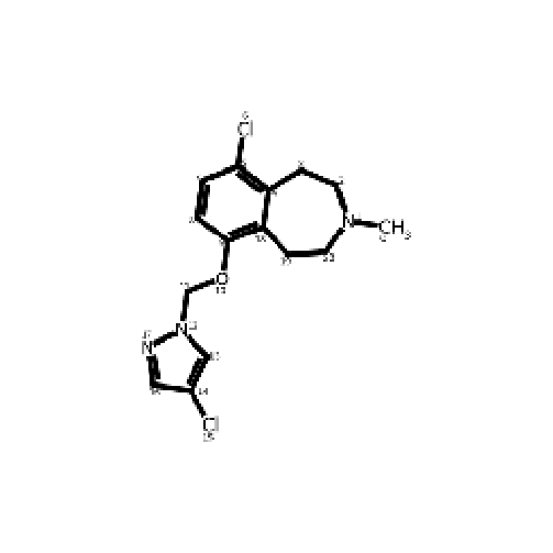 CN1CCc2c(Cl)ccc(OCn3cc(Cl)cn3)c2CC1